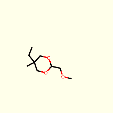 CCC1(C)COC(COC)OC1